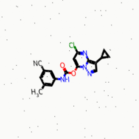 Cc1cc(C#N)cc(NC(=O)Oc2cc(Cl)nc3c(C4CC4)cnn23)c1